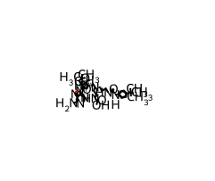 CC1(C)O[C@@H]2[C@H](O1)[C@@H](CN(CCCNC(=O)Nc1ccc(C(C)(C)C)cc1)CCNC(=O)O)O[C@H]2n1cnc2c(N)ncnc21